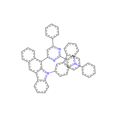 c1ccc(-c2cc(-c3c4ccccc4cc4c5ccccc5n(-c5ccc6c(c5)c5ccccc5n6-c5ccccc5)c34)nc(-c3ccccc3)n2)cc1